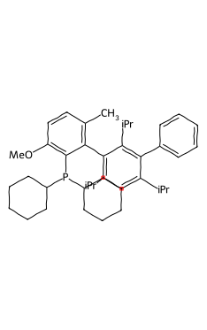 COc1ccc(C)c(-c2c(C(C)C)cc(C(C)C)c(-c3ccccc3)c2C(C)C)c1P(C1CCCCC1)C1CCCCC1